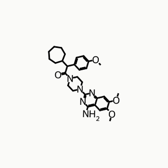 COc1ccc(C(C(=O)N2CCN(c3nc(N)c4cc(OC)c(OC)cc4n3)CC2)C2CCCCCC2)cc1